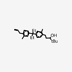 C=CCc1ccc(C(CC)(CC)c2ccc(CCC(O)C(C)(C)C)c(C)c2)cc1C